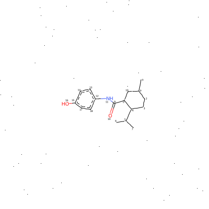 CC1CCC(C(C)C)C(C(=O)Nc2ccc(O)cc2)C1